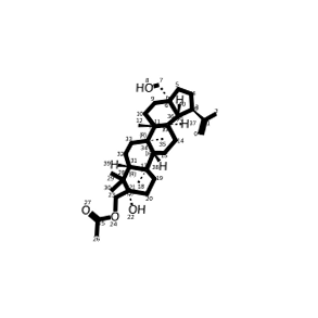 C=C(C)[C@@H]1CC[C@]2(CO)CC[C@]3(C)[C@H](CC[C@@H]4[C@@]5(C)CC[C@@](O)(COC(C)=O)C(C)(C)[C@@H]5CC[C@]43C)[C@@H]12